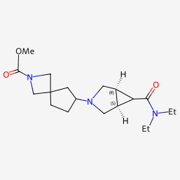 CCN(CC)C(=O)C1[C@H]2CN(C3CCC4(C3)CN(C(=O)OC)C4)C[C@@H]12